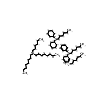 CCCCCCCCP(CCCCCC)CCCCCCCC.CCCCCCP.CCCCCCP(C1CCCCC1)C1CCCCC1.CCCCCCP(c1ccccc1)c1ccccc1